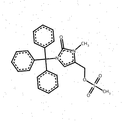 Cn1c(COS(C)(=O)=O)cn(C(c2ccccc2)(c2ccccc2)c2ccccc2)c1=O